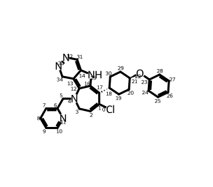 ClC1=CCN(Cc2ccccn2)c2c3c([nH]c2=C1[C@H]1CC[C@H](Oc2ccccc2)CC1)=CN=NC3